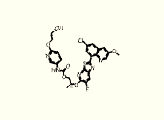 COc1cnc2c(-c3nc4cc(F)c(O[C@@H](C)COC(=O)Nc5ccc(OCCO)nc5)nc4s3)cc(Cl)cc2c1